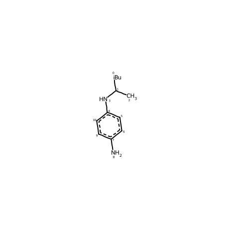 CCC(C)C(C)Nc1ccc(N)cc1